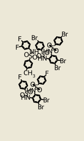 Cc1ccc(S(=O)(=O)Nc2ccc(F)c(F)c2)cc1.O=S(=O)(Nc1cc(Br)c(Br)cc1NS(=O)(=O)c1ccc(Br)cc1)c1ccc(Br)cc1.O=S(=O)(Nc1cc(Br)c(Br)cc1NS(=O)(=O)c1ccc(F)cc1)c1ccc(F)cc1